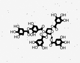 O=C(OC[C@H]1O[C@@H](OC(=O)c2cc(O)c(O)c(O)c2)C[C@@H](OC(=O)c2cc(O)c(OC(=O)c3cc(O)c(O)c(O)c3)c(O)c2)[C@@H]1OC(=O)c1cc(O)c(O)c(O)c1)c1cc(O)c(O)c(O)c1